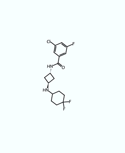 O=C(N[C@H]1C[C@H](NC2CCC(F)(F)CC2)C1)c1cc(F)cc(Cl)c1